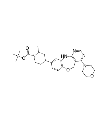 CC1CC(c2ccc3c(c2)Nc2ncnc(N4CCOCC4)c2CO3)CCN1C(=O)OC(C)(C)C